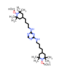 CCCCCCCCON1C(C)(C)CC(CCCCNc2ncnc(NCCCCC3CC(C)(C)N(OCCCCCCCC)C(C)(C)C3)n2)CC1(C)C